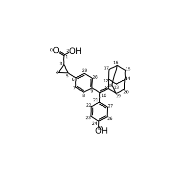 O=C(O)C1CC1c1ccc(C(=C2C3CC4CC(C3)CC2C4)c2ccc(O)cc2)cc1